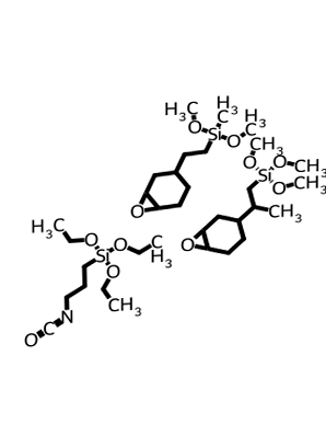 CCO[Si](CCCN=C=O)(OCC)OCC.CO[Si](C)(CCC1CCC2OC2C1)OC.CO[Si](CC(C)C1CCC2OC2C1)(OC)OC